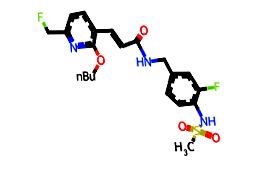 CCCCOc1nc(CF)ccc1/C=C/C(=O)NCc1ccc(NS(C)(=O)=O)c(F)c1